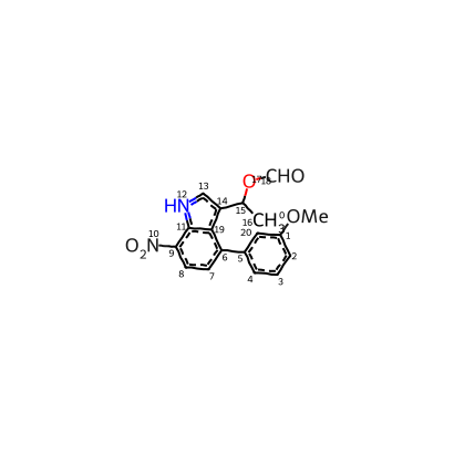 COc1cccc(-c2ccc([N+](=O)[O-])c3[nH]cc(C(C)OC=O)c23)c1